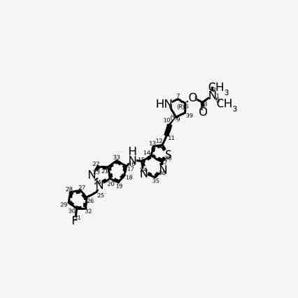 CN(C)C(=O)O[C@H]1CN[C@H](C#Cc2cc3c(Nc4ccc5c(cnn5Cc5cccc(F)c5)c4)ncnc3s2)C1